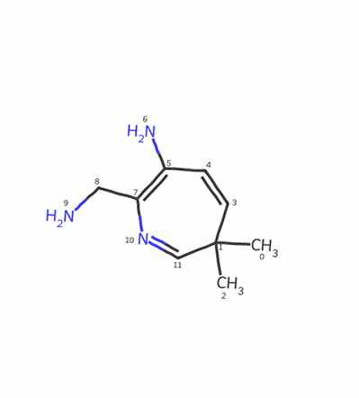 CC1(C)C=CC(N)=C(CN)N=C1